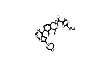 CC(C)(C)c1nnc(C(=O)NCc2ccc(-c3ncnn4cc(N5CCOCC5)cc34)c(F)c2C(F)F)o1